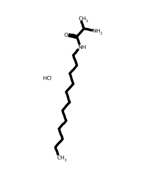 CCCCCCCCCCCCNC(=O)C(C)N.Cl